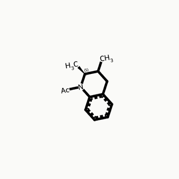 CC(=O)N1c2ccccc2CC(C)[C@@H]1C